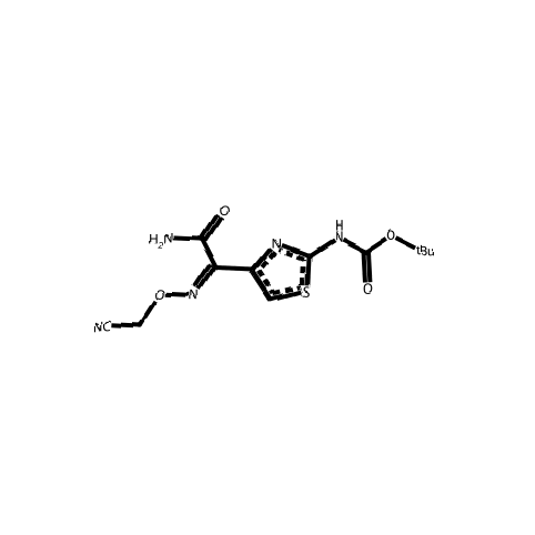 CC(C)(C)OC(=O)Nc1nc(/C(=N/OCC#N)C(N)=O)cs1